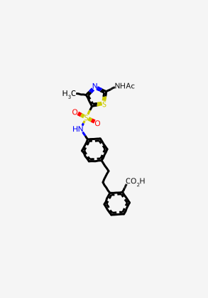 CC(=O)Nc1nc(C)c(S(=O)(=O)Nc2ccc(CCc3ccccc3C(=O)O)cc2)s1